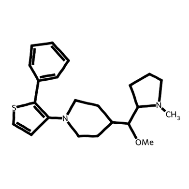 COC(C1CCN(c2ccsc2-c2ccccc2)CC1)C1CCCN1C